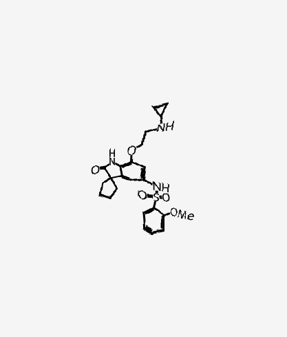 COc1ccccc1S(=O)(=O)Nc1cc(OCCNC2CC2)c2c(c1)C1(CCCC1)C(=O)N2